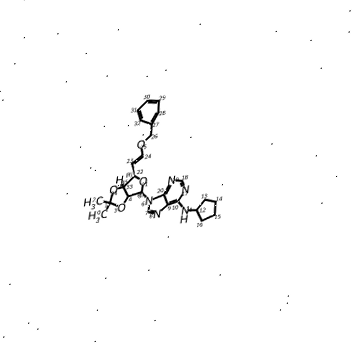 CC1(C)OC2[C@H](n3cnc4c(NC5CCCC5)ncnc43)O[C@H](C=COCc3ccccc3)[C@H]2O1